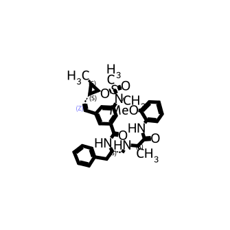 COc1ccccc1NC(=O)[C@H](C)NC[C@H](Cc1ccccc1)NC(=O)c1cc(/C=C\[C@H]2C[C@@H]2C)cc(N(C)S(C)(=O)=O)c1